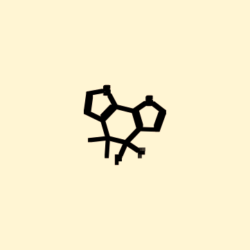 CC1(C)c2ccsc2-c2sccc2C1(F)F